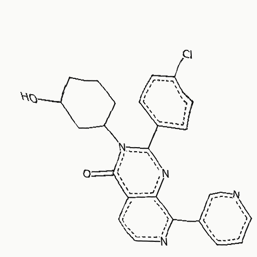 O=c1c2ccnc(-c3cccnc3)c2nc(-c2ccc(Cl)cc2)n1C1CCCC(O)C1